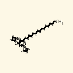 CCCCCCCCCCCCCCCCc1nc(N2CCC2)nc(OC2CCC2)c1Br